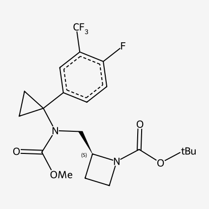 COC(=O)N(C[C@@H]1CCN1C(=O)OC(C)(C)C)C1(c2ccc(F)c(C(F)(F)F)c2)CC1